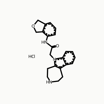 Cl.O=C(Cn1c2c(c3ccccc31)CCNCC2)Nc1cccc2c1COC2